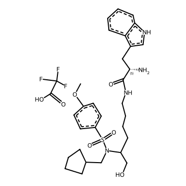 COc1ccc(S(=O)(=O)N(CC2CCCC2)C(CO)CCCCNC(=O)[C@@H](N)Cc2c[nH]c3ccccc23)cc1.O=C(O)C(F)(F)F